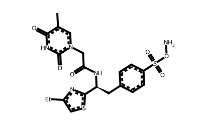 CCc1csc([C@H](Cc2ccc(S(=O)(=O)ON)cc2)NC(=O)Cn2cc(C)c(=O)[nH]c2=O)n1